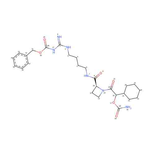 N=C(NCCCCNC(=O)[C@@H]1CCN1C(=O)C(OC(N)=O)C1CCCCC1)NC(=O)OCc1ccccc1